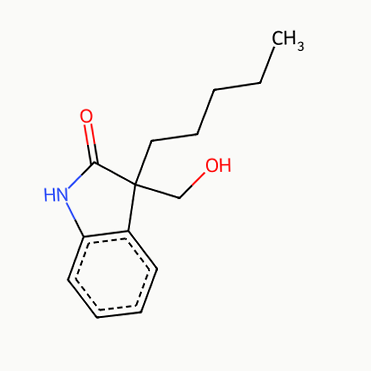 CCCCCC1(CO)C(=O)Nc2ccccc21